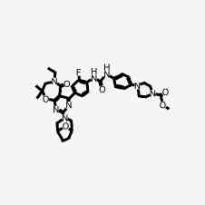 CCN1CC(C)(C)Oc2nc(N3CC4CCC(C3)O4)nc(-c3ccc(NC(=O)Nc4ccc(N5CCN(C(=O)OC)CC5)cc4)c(F)c3)c2C1=O